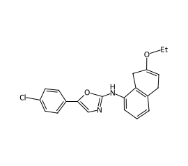 CCOC1=CCc2cccc(Nc3ncc(-c4ccc(Cl)cc4)o3)c2C1